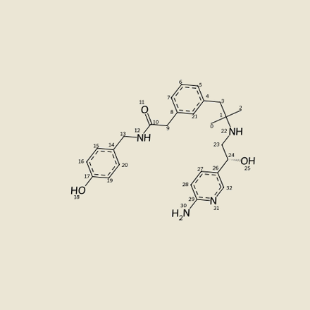 CC(C)(Cc1cccc(CC(=O)NCc2ccc(O)cc2)c1)NC[C@H](O)c1ccc(N)nc1